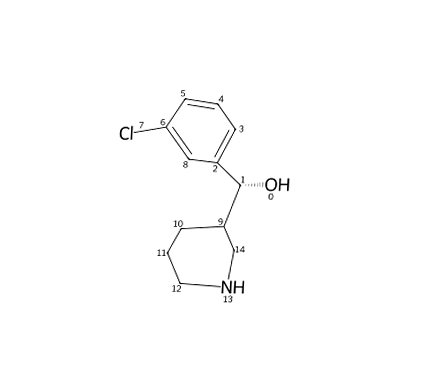 O[C@@H](c1cccc(Cl)c1)C1CCCNC1